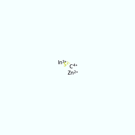 [C+4].[In+3].[S-2].[Zn+2]